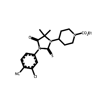 CCOC(=O)N1CCC(N2C(=S)N(c3ccc(C#N)c(Cl)c3)C(=O)C2(C)C)CC1